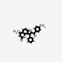 Cc1ccc(C(=O)c2oc3ccc4c(C)cc(=O)oc4c3c2-c2ccccc2)cc1